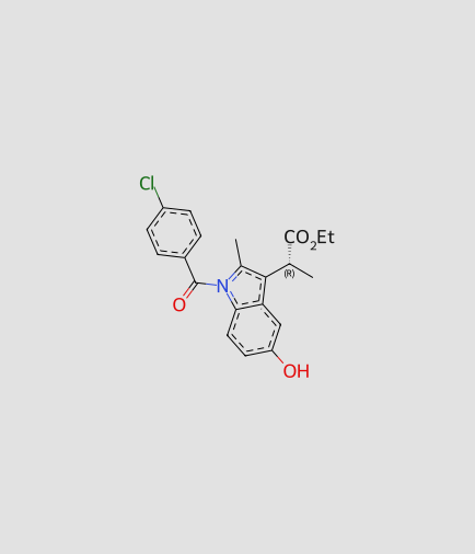 CCOC(=O)[C@H](C)c1c(C)n(C(=O)c2ccc(Cl)cc2)c2ccc(O)cc12